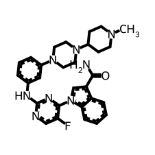 CN1CCC(N2CCN(c3cccc(Nc4ncc(F)c(-n5cc(C(N)=O)c6ccccc65)n4)c3)CC2)CC1